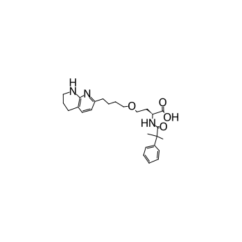 CC(C)(C(=O)N[C@@H](CCOCCCCc1ccc2c(n1)NCCC2)C(=O)O)c1ccccc1